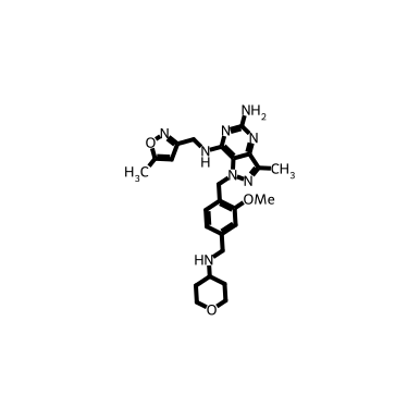 COc1cc(CNC2CCOCC2)ccc1Cn1nc(C)c2nc(N)nc(NCc3cc(C)on3)c21